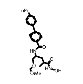 CCCc1ccc(-c2ccc(C(=O)NC(COCOC)CC(C)C(=O)NO)cc2)cc1